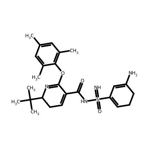 Cc1cc(C)c(OC2=NC(C(C)(C)C)CC=C2C(=O)NS(=N)(=O)C2=CCCC(N)=C2)c(C)c1